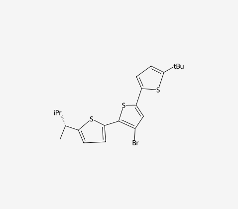 CC(C)[C@@H](C)c1ccc(-c2sc(-c3ccc(C(C)(C)C)s3)cc2Br)s1